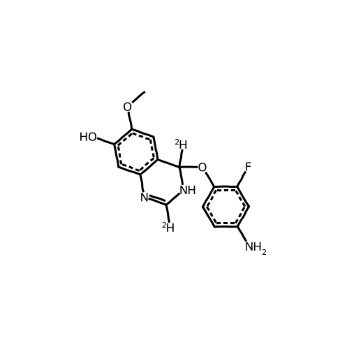 [2H]C1=Nc2cc(O)c(OC)cc2C([2H])(Oc2ccc(N)cc2F)N1